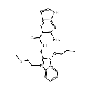 CCCOn1c(CNC(=O)c2nc3cc[nH]c3nc2N)[n+](CCSC)c2ccccc21